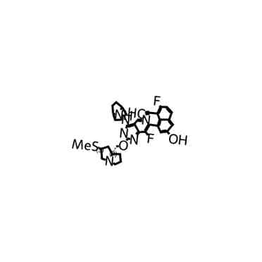 C#Cc1c(F)ccc2cc(O)cc(-c3ncc4c(N5CC6CCC(C5)N6)nc(OC[C@]56CCCN5C[C@@H](SC)C6)nc4c3F)c12